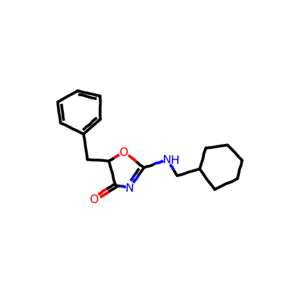 O=C1N=C(NCC2CCCCC2)OC1Cc1ccccc1